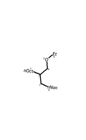 CCCCCCCCCCC(CCCCCCCC)COCC